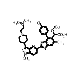 Cc1cc2nc(-c3ccc4c(n3)c(C3CCN(CCN(C)C)CC3)nn4C)sc2c(-c2ccc(Cl)cc2)c1C(OC(C)(C)C)C(=O)O